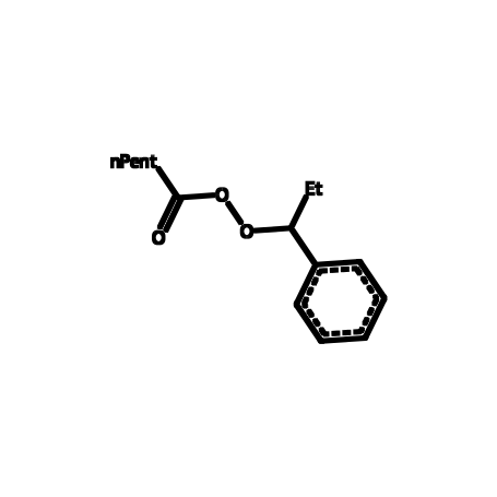 CCCCCC(=O)OOC(CC)c1ccccc1